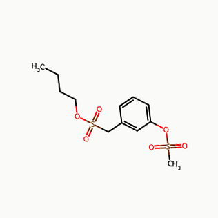 CCCCOS(=O)(=O)Cc1cccc(OS(C)(=O)=O)c1